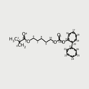 C=C(C)C(=O)OCCCCCOC(=O)Oc1ccccc1-c1ccccc1